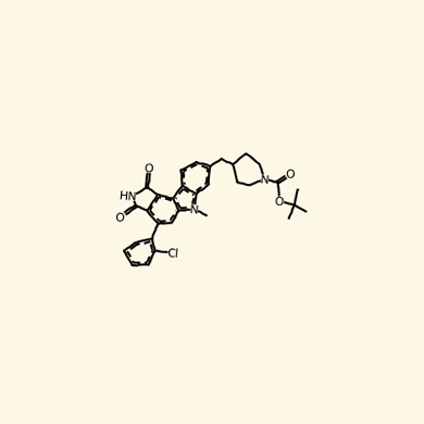 Cn1c2cc(CC3CCN(C(=O)OC(C)(C)C)CC3)ccc2c2c3c(c(-c4ccccc4Cl)cc21)C(=O)NC3=O